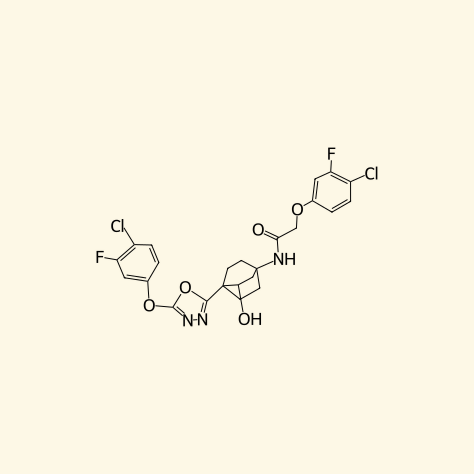 O=C(COc1ccc(Cl)c(F)c1)NC12CCC(c3nnc(Oc4ccc(Cl)c(F)c4)o3)(CC1)C(O)C2